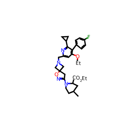 CCOC(=O)C1CC(C)CCN1C1=NOC2(C1)CN(Cc1cc(OCC)c(-c3ccc(F)cc3)c(C3CC3)n1)C2